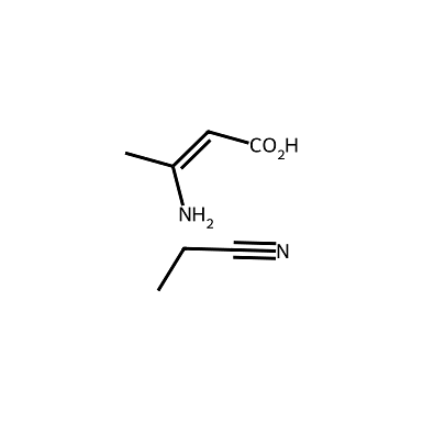 C/C(N)=C/C(=O)O.CCC#N